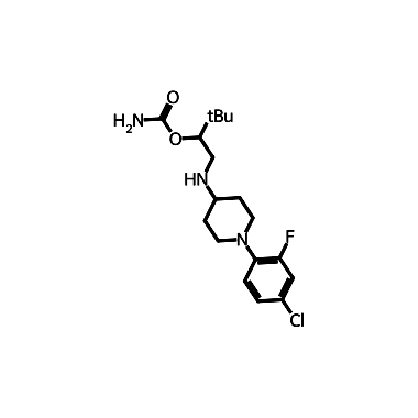 CC(C)(C)C(CNC1CCN(c2ccc(Cl)cc2F)CC1)OC(N)=O